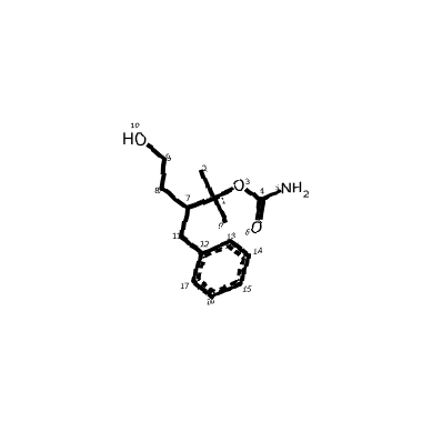 CC(C)(OC(N)=O)C(CCO)Cc1ccccc1